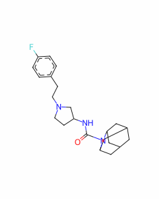 O=C(NC1CCN(CCc2ccc(F)cc2)C1)N1C2CC3CC(C2)CC1C3